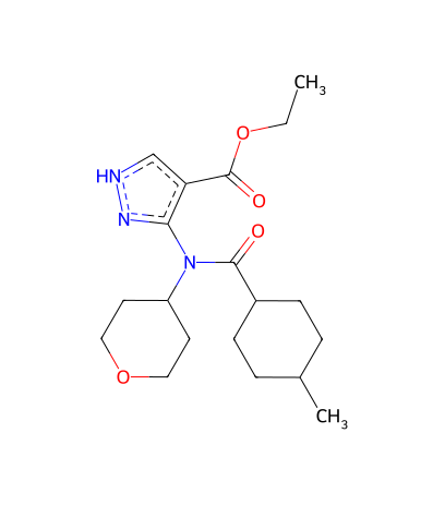 CCOC(=O)c1c[nH]nc1N(C(=O)C1CCC(C)CC1)C1CCOCC1